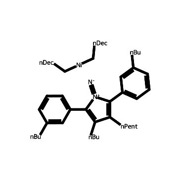 CCCCCC1=C(c2cccc(CCCC)c2)[N+](=[N-])C(c2cccc(CCCC)c2)=C1CCCC.CCCCCCCCCC[CH2][Ni][CH2]CCCCCCCCCC